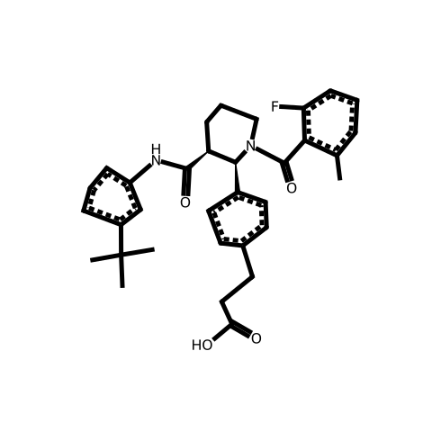 Cc1cccc(F)c1C(=O)N1CCC[C@H](C(=O)Nc2cccc(C(C)(C)C)c2)[C@@H]1c1ccc(CCC(=O)O)cc1